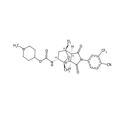 CN1CCC(OC(=O)N[C@@H]2C[C@@]3(C)O[C@]2(C)[C@@H]2C(=O)N(c4ccc(C#N)c(C(F)(F)F)c4)C(=O)[C@@H]23)CC1